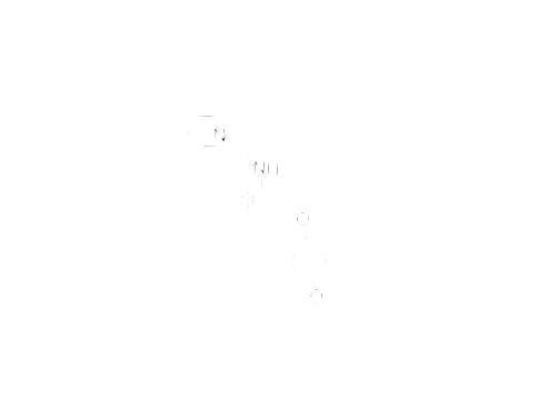 COc1ccc(OCCC(=O)NCCN2C3CCC2CC3)cc1